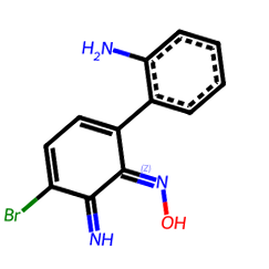 N=C1C(Br)=CC=C(c2ccccc2N)/C1=N/O